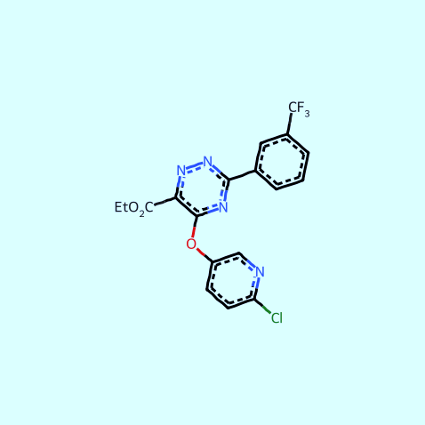 CCOC(=O)c1nnc(-c2cccc(C(F)(F)F)c2)nc1Oc1ccc(Cl)nc1